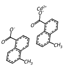 Cc1cccc2c(C(=O)[O-])cccc12.Cc1cccc2c(C(=O)[O-])cccc12.[Cd+2]